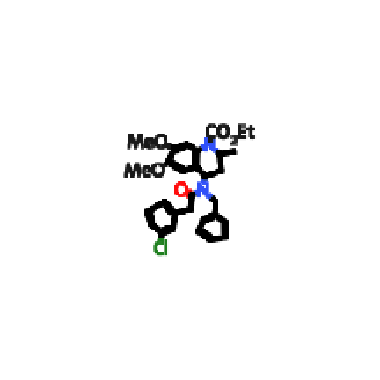 CCOC(=O)N1c2cc(OC)c(OC)cc2C(N(Cc2ccccc2)C(=O)Cc2cccc(Cl)c2)CC1C